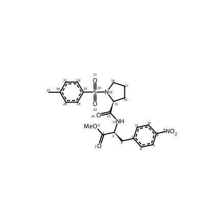 COC(=O)[C@H](Cc1ccc([N+](=O)[O-])cc1)NC(=O)[C@@H]1CCCN1S(=O)(=O)c1ccc(C)cc1